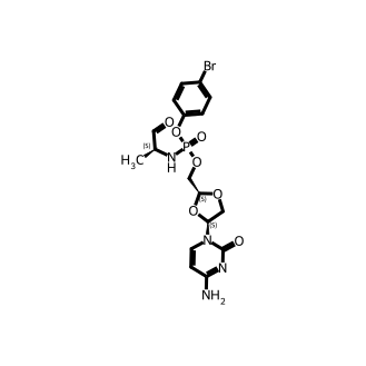 C[C@@H](C=O)NP(=O)(OC[C@H]1OC[C@@H](n2ccc(N)nc2=O)O1)Oc1ccc(Br)cc1